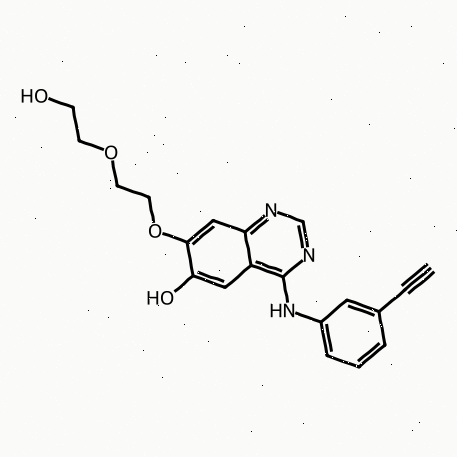 C#Cc1cccc(Nc2ncnc3cc(OCCOCCO)c(O)cc23)c1